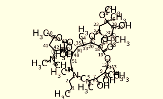 CCCN1C[C@H](C)[C@@H](O)C(C)(O)[C@@H](CC)OC(=O)[C@H](C)[C@@H](O[C@H]2C[C@@](C)(OC)[C@@H](O)[C@H](C)O2)[C@H](C)[C@@H](O[C@@H]2O[C@H](C)C[C@H](N(C)C)[C@H]2O)C(C)(O)C[C@H]1C